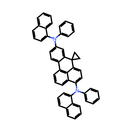 c1ccc(N(c2ccc3c(c2)C2(CC2)c2ccc(N(c4ccccc4)c4cccc5ccccc45)c4cccc-3c24)c2cccc3ccccc23)cc1